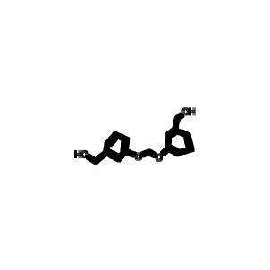 OCc1cccc(OCOc2cccc(CO)c2)c1